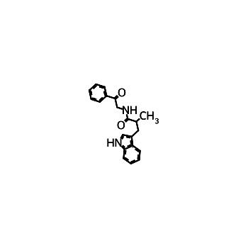 CC(Cc1c[nH]c2ccccc12)C(=O)NCC(=O)c1ccccc1